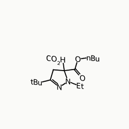 CCCCOC(=O)C1(C(=O)O)CC(C(C)(C)C)=NN1CC